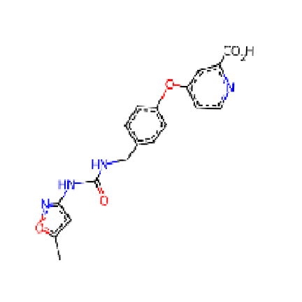 Cc1cc(NC(=O)NCc2ccc(Oc3ccnc(C(=O)O)c3)cc2)no1